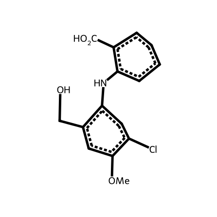 COc1cc(CO)c(Nc2ccccc2C(=O)O)cc1Cl